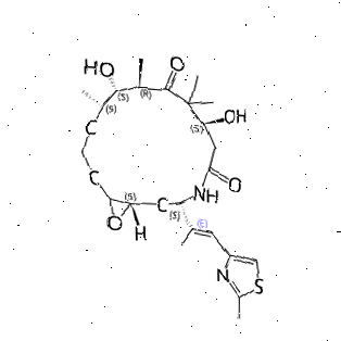 C/C(=C\c1csc(C)n1)[C@@H]1C[C@@H]2OC2CCC[C@H](C)[C@H](O)[C@@H](C)C(=O)C(C)(C)[C@@H](O)CC(=O)N1